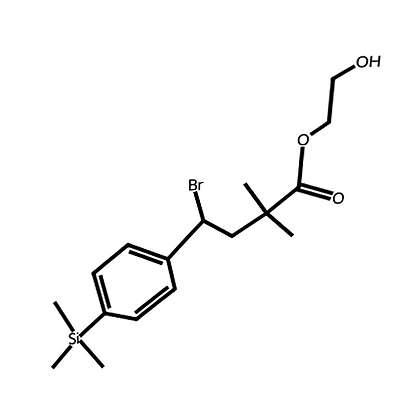 CC(C)(CC(Br)c1ccc([Si](C)(C)C)cc1)C(=O)OCCO